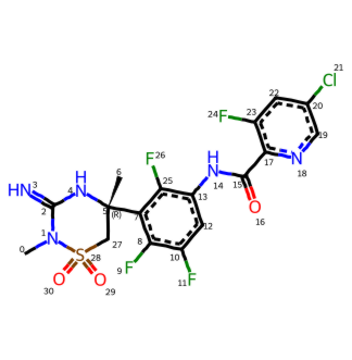 CN1C(=N)N[C@](C)(c2c(F)c(F)cc(NC(=O)c3ncc(Cl)cc3F)c2F)CS1(=O)=O